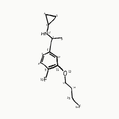 CC(NC1CC1)c1ccc(F)c(OCCCF)c1